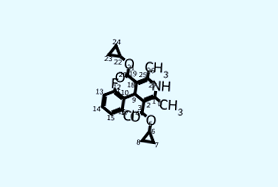 CC1=C(C(=O)OC2CC2)C(c2c(F)cccc2Cl)C(C(=O)OC2CC2)=C(C)N1